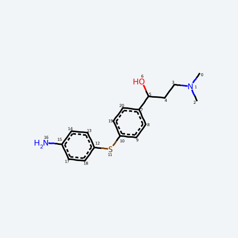 CN(C)CCC(O)c1ccc(Sc2ccc(N)cc2)cc1